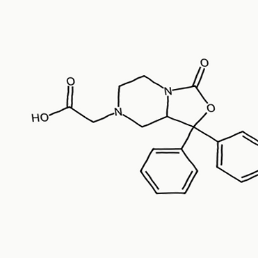 O=C(O)CN1CCN2C(=O)OC(c3ccccc3)(c3ccccc3)C2C1